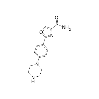 NC(=O)c1coc(-c2ccc(N3CCNCC3)cc2)n1